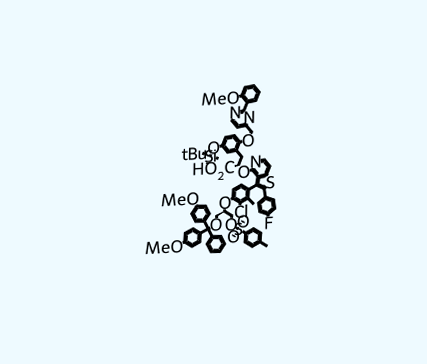 COc1ccc(C(OC[C@H](COS(=O)(=O)c2ccc(C)cc2)Oc2ccc(-c3c(-c4ccc(F)cc4)sc4ccnc(O[C@H](Cc5cc(O[Si](C)(C)C(C)(C)C)ccc5OCc5ccnc(-c6ccccc6OC)n5)C(=O)O)c34)c(C)c2Cl)(c2ccccc2)c2ccc(OC)cc2)cc1